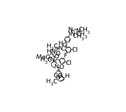 COC[C@H](NC(=O)[C@H](C)NCc1c(F)cc(Cl)cc1Oc1ccc(-c2cnc(CN(C)C)n2C)cc1)C(=O)N(C)[C@@]1(Cc2ccc(Cl)cc2)CCCN(C(=O)[C@@H](CC(=O)O)Cc2cccc(C)n2)C1